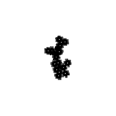 c1ccc(-c2cc(-c3ccccc3)cc(N(c3ccc(-c4ccc5c(c4)c4ccc6c7cc8c9ccccc9c9ccccc9c8cc7oc6c4n5-c4ccc5ccccc5n4)c4ccccc34)c3cccc4c3ccc3ccccc34)c2)cc1